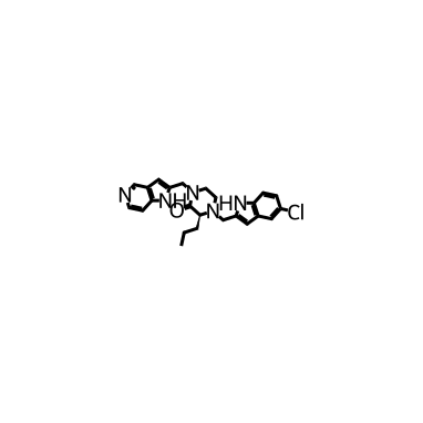 CCC[C@H]1C(=O)N(Cc2cc3cnccc3[nH]2)CCN1Cc1cc2cc(Cl)ccc2[nH]1